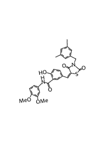 COc1ccc(NC(=O)c2cc(/C=C3/SC(=O)N(Cc4cc(C)cc(C)c4)C3=O)ccc2O)cc1OC